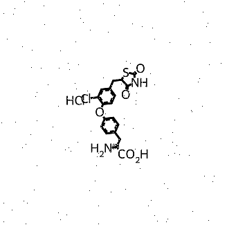 Cl.N[C@@H](Cc1ccc(Oc2ccc(CC3SC(=O)NC3=O)cc2Cl)cc1)C(=O)O